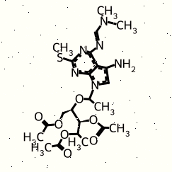 CSc1nc(/N=C/N(C)C)c2c(N)cn(C(C)O[C@H](COC(C)=O)[C@@H](OC(C)=O)C(C)OC(C)=O)c2n1